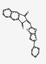 S=C1C(=Cc2nc3sc(-c4ccccc4)cc3o2)C(=S)c2cc3ccccc3cc21